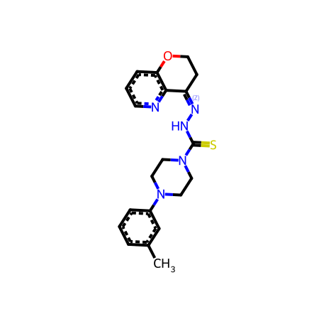 Cc1cccc(N2CCN(C(=S)N/N=C3/CCOc4cccnc43)CC2)c1